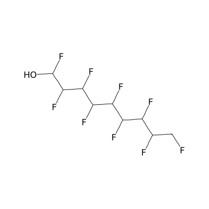 OC(F)C(F)C(F)C(F)C(F)C(F)C(F)C(F)CF